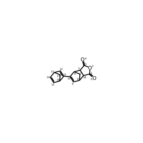 O=C1OC(=O)C2C3CC(C=C3C3=CC4C=CC3C4)C12